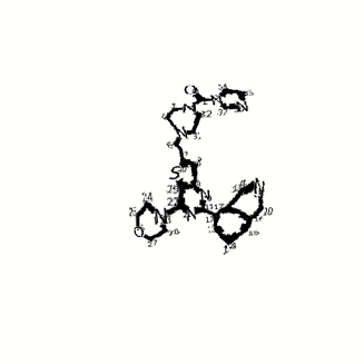 O=C(N1CCN(Cc2cc3nc(-c4cccc5c4C=NC5)nc(N4CCOCC4)c3s2)CC1)n1ccnc1